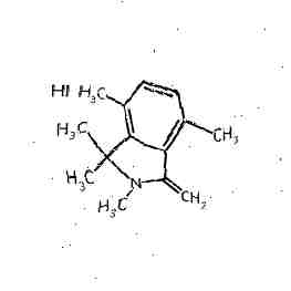 C=C1c2c(C)ccc(C)c2C(C)(C)N1C.I